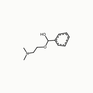 CN(C)CCOC(O)c1ccccc1